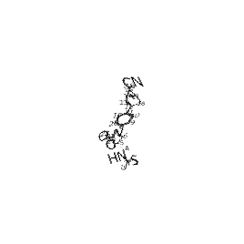 CC(=S)NC[C@H]1CN(c2ccc(C3=CC4C(C#N)C4C3)cc2)C(=O)O1